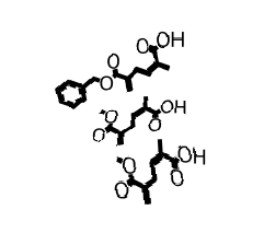 C=C(CC=C(C)C(=O)O)C(=O)OC.C=C(CC=C(C)C(=O)O)C(=O)OC.C=C(CC=C(C)C(=O)O)C(=O)OCc1ccccc1